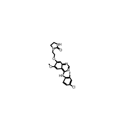 COc1cc2c(Nc3ccc(Cl)cc3F)ncnc2cc1OCCN1CCNC1=O